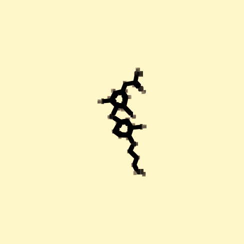 NCCCOc1ccc(Oc2c(I)cc(CC(=O)O)cc2I)cc1I